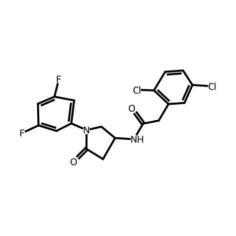 O=C(Cc1cc(Cl)ccc1Cl)NC1CC(=O)N(c2cc(F)cc(F)c2)C1